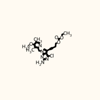 CCOC(=O)OCCC#Cc1cn(Cc2ncc(C)c(OC)c2C)c2nc(N)nc(Cl)c12